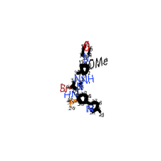 COc1cc(Nc2ncc(Br)c(Nc3ccc(-c4ccc(C)cn4)cc3P(C)C)n2)c(C)cc1N1CCOCC1